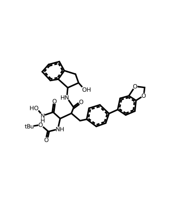 CC(C)(C)OC(=O)NC(C(=O)NO)C(Cc1ccc(-c2ccc3c(c2)OCO3)cc1)C(=O)NC1c2ccccc2CC1O